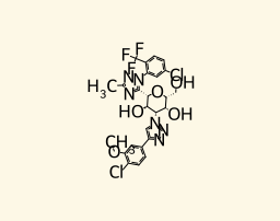 COc1cc(-c2cn([C@H]3[C@@H](O)[C@@H](CO)O[C@@H](c4nc(C)nn4-c4cc(Cl)ccc4C(F)(F)F)[C@@H]3O)nn2)ccc1Cl